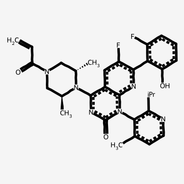 C=CC(=O)N1C[C@H](C)N(c2nc(=O)n(-c3c(C)ccnc3C(C)C)c3nc(-c4c(O)cccc4F)c(F)cc23)[C@@H](C)C1